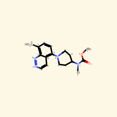 CCN(C(=O)OC(C)(C)C)C1CCN(c2ccc(C(=O)O)c3nnccc23)CC1